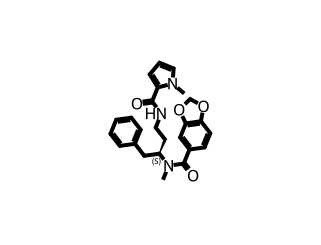 CN(C(=O)c1ccc2c(c1)OCO2)[C@H](CCNC(=O)c1cccn1C)Cc1ccccc1